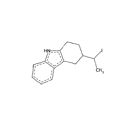 CC(I)C1CCc2[nH]c3ccccc3c2C1